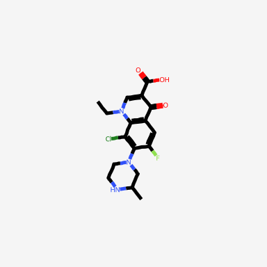 CCn1cc(C(=O)O)c(=O)c2cc(F)c(N3CCNC(C)C3)c(Cl)c21